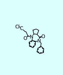 O=C1C2CCCC2N(C(=O)CCCCl)c2ccccc2N1Cc1ccccc1